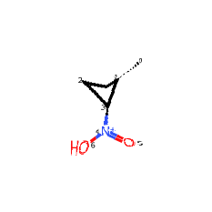 C[C@H]1C[C@@H]1[N+](=O)O